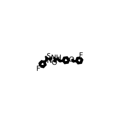 O=C(C=Cc1ccc(OCc2cccc(F)c2)cc1)Nc1nc(-c2ccc(F)cc2)cs1